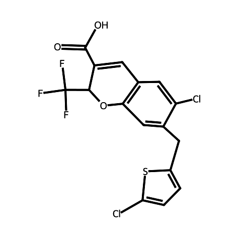 O=C(O)C1=Cc2cc(Cl)c(Cc3ccc(Cl)s3)cc2OC1C(F)(F)F